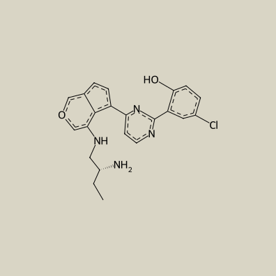 CC[C@@H](N)CNc1cocc2ccc(-c3ccnc(-c4cc(Cl)ccc4O)n3)c1-2